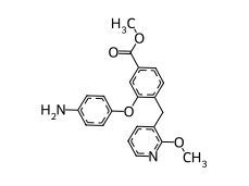 COC(=O)c1ccc(Cc2cccnc2OC)c(Oc2ccc(N)cc2)c1